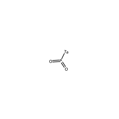 O=[P](=O)[Ta]